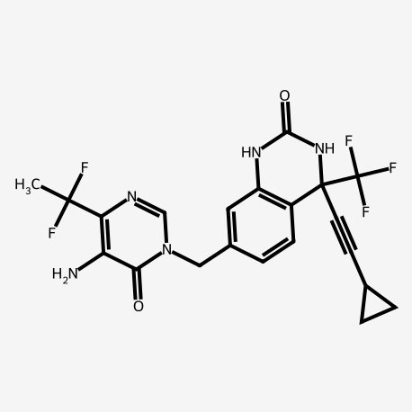 CC(F)(F)c1ncn(Cc2ccc3c(c2)NC(=O)NC3(C#CC2CC2)C(F)(F)F)c(=O)c1N